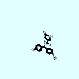 O=C1C[C@H](C(=O)N[C@@H](c2ccc(Cl)cc2)c2ccc(OC(F)(F)F)cc2)CN1